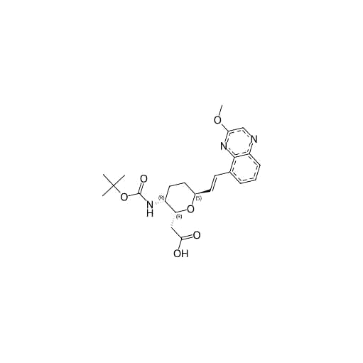 COc1cnc2cccc(C=C[C@@H]3CC[C@@H](NC(=O)OC(C)(C)C)[C@@H](CC(=O)O)O3)c2n1